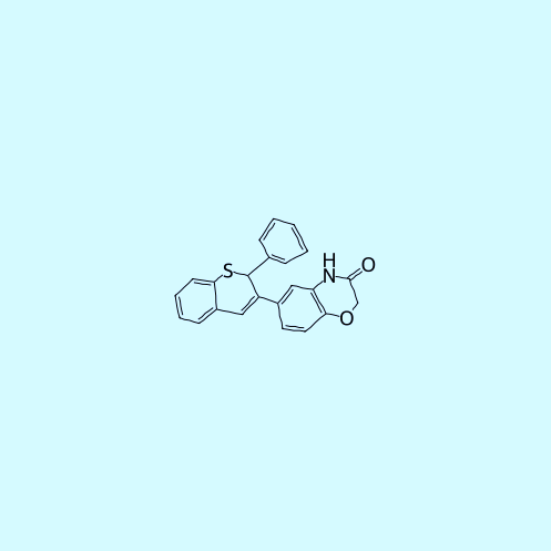 O=C1COc2ccc(C3=Cc4ccccc4SC3c3ccccc3)cc2N1